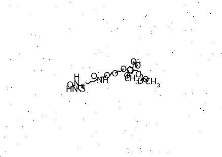 COC(=O)COCc1cc(OC)c(OCCOCCOCCNC(=O)CCCC[C@@H]2SCC3NC(=O)NC32)cc1[N+](=O)[O-]